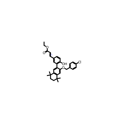 CCOC(=O)/C=C/c1ccc(O)c(-c2cc3c(cc2OCc2ccc(Cl)cc2)C(C)(C)CCC3(C)C)c1